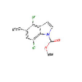 COc1cc(Cl)c2c(ccn2C(=O)OC(C)(C)C)c1Br